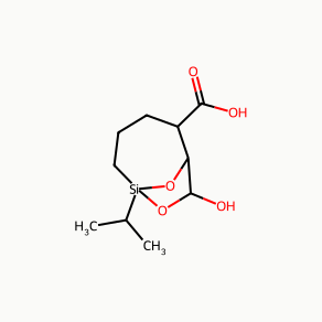 CC(C)[Si]12CCCC(C(=O)O)C(O1)C(O)O2